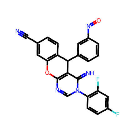 N#Cc1ccc2c(c1)Oc1ncn(-c3ccc(F)cc3F)c(=N)c1C2c1cccc(N=O)c1